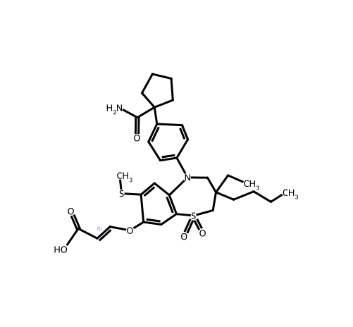 CCCCC1(CC)CN(c2ccc(C3(C(N)=O)CCCC3)cc2)c2cc(SC)c(O/C=C/C(=O)O)cc2S(=O)(=O)C1